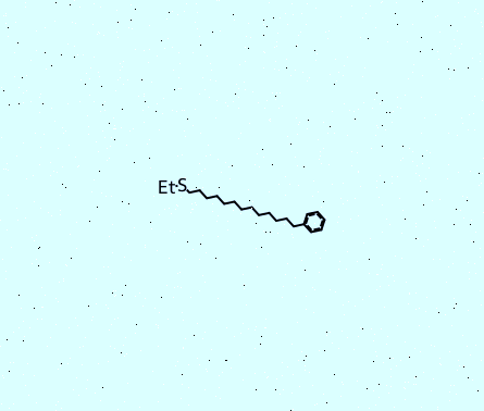 CCSCCCCCCCCCCCCCc1ccccc1